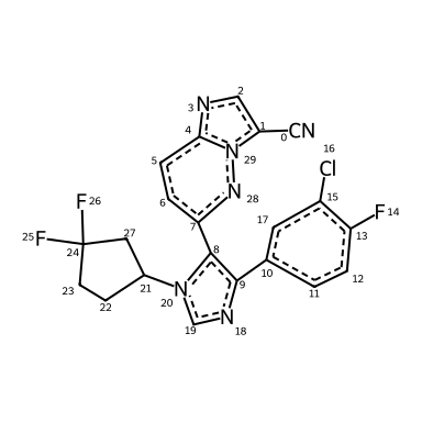 N#Cc1cnc2ccc(-c3c(-c4ccc(F)c(Cl)c4)ncn3C3CCC(F)(F)C3)nn12